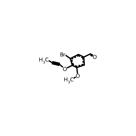 CC#COc1c(Br)cc(C=O)cc1OC